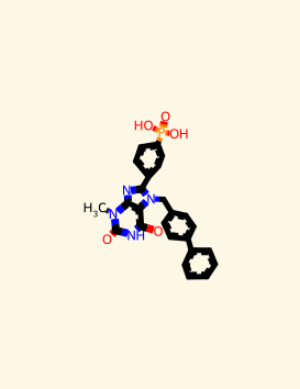 Cn1c(=O)[nH]c(=O)c2c1nc(-c1ccc(P(=O)(O)O)cc1)n2Cc1ccc(-c2ccccc2)cc1